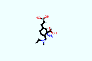 CCN(C)CC1CCC(CCB(O)O)CC1(N)C(=O)O